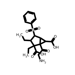 CCC1C(S(=O)(=O)c2ccccc2)C2C(C(=O)O)C2(C(=O)CN)C1(CC)C(=O)O